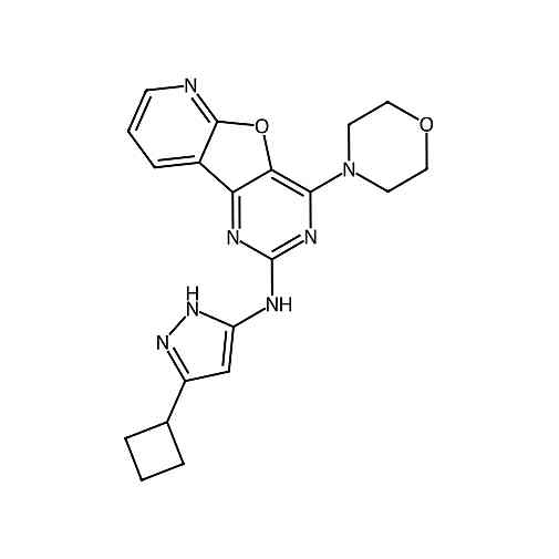 c1cnc2oc3c(N4CCOCC4)nc(Nc4cc(C5CCC5)n[nH]4)nc3c2c1